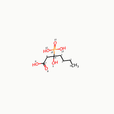 CCCCC(O)(CC(=O)O)P(=O)(O)O